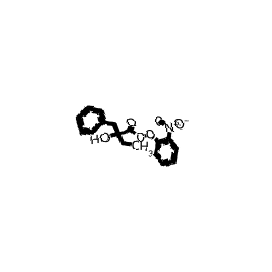 CCC(O)(Cc1ccccc1)C(=O)OOc1ccccc1[N+](=O)[O-]